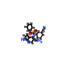 N#CC1CCCC(N(c2c(N)cnc3[nH]ccc23)S(=O)(=O)c2ccccc2)C1